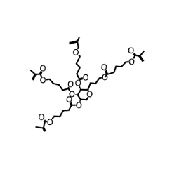 C=C(C)COCCCCC(=O)O[C@H]1C(CCCOC(=O)CCCCOC(=O)C(=C)C)OC[C@@H](OC(=O)CCCCOC(=O)C(=C)C)[C@@H]1OC(=O)CCCCOC(=O)C(=C)C